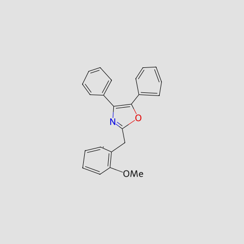 COc1ccc[c]c1Cc1nc(-c2ccccc2)c(-c2ccccc2)o1